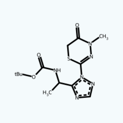 CC(NC(=O)OC(C)(C)C)c1ncnn1C1=NN(C)C(=O)CS1